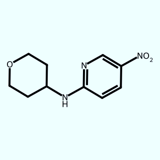 O=[N+]([O-])c1ccc(NC2CCOCC2)nc1